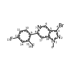 Cn1nc(Br)c2cnc(-c3ccc(F)cc3F)cc21